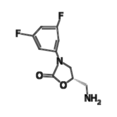 NC[C@H]1CN(c2cc(F)cc(F)c2)C(=O)O1